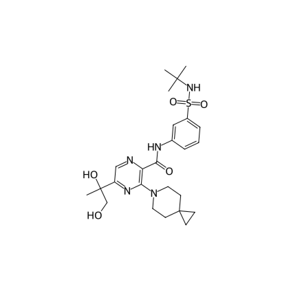 CC(C)(C)NS(=O)(=O)c1cccc(NC(=O)c2ncc(C(C)(O)CO)nc2N2CCC3(CC2)CC3)c1